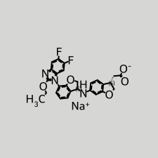 CCOc1nc2cc(F)c(F)cc2n1-c1cccc2c1OC[C@H]2Nc1ccc2c(c1)OC[C@H]2CC(=O)[O-].[Na+]